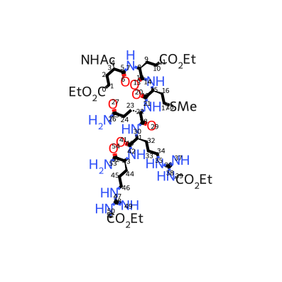 CCOC(=O)CC[C@H](NC(C)=O)C(=O)N[C@@H](CCC(=O)OCC)C(=O)N[C@@H](CCSC)C(=O)N[C@@H](CCC(N)=O)C(=O)N[C@@H](CCCNC(=N)NC(=O)OCC)C(=O)N[C@@H](CCCNC(=N)NC(=O)OCC)C(N)=O